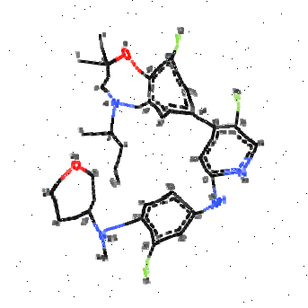 CCC(C)N1CC(C)(C)Oc2c(F)cc(-c3cc(Nc4ccc(N(C)C5CCOC5)c(F)c4)ncc3F)cc21